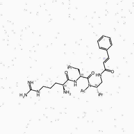 CC(=O)N(C(=O)[C@H](CC(C)C)NC(=O)[C@@H](N)CCCNC(=N)N)[C@H](CNC(=O)/C=C/c1ccccc1)C(C)C